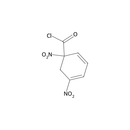 O=C(Cl)C1([N+](=O)[O-])C=CC=C([N+](=O)[O-])C1